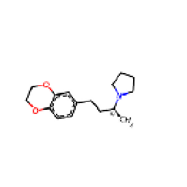 C[C@@H](CCc1ccc2c(c1)OCCO2)N1CCCC1